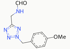 COc1ccc(Cn2nnc(CNC=O)n2)cc1